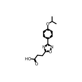 CC(C)Oc1ccc(-c2noc(CCC(=O)O)n2)cc1